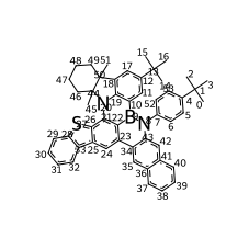 CC(C)(C)c1ccc(N2B3c4cc(C(C)(C)C)cc5c4N(c4c3c(cc3c4sc4ccccc43)-c3cc4ccccc4cc32)C2(C)CCCCC52C)cc1